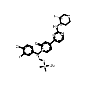 CC(C)(C)[Si](C)(C)OC[C@H](c1ccc(Cl)c(F)c1)n1ccc(-c2ccnc(N[C@@H]3CCOC[C@H]3F)n2)cc1=O